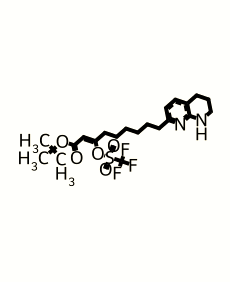 CC(C)(C)OC(=O)/C=C(/CCCCCCc1ccc2c(n1)NCCC2)OS(=O)(=O)C(F)(F)F